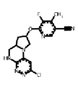 Cc1c(C#N)cnc(OC2CC3CNc4nnc(Cl)cc4N3C2)c1F